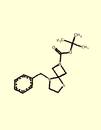 CC(C)(C)OC(=O)N1CC2(C1)SCCN2Cc1ccccc1